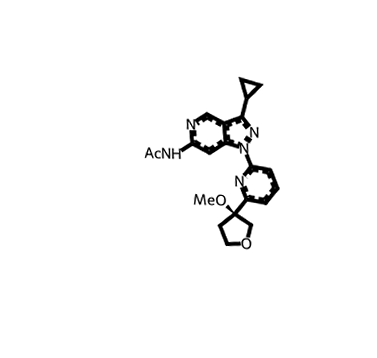 CO[C@]1(c2cccc(-n3nc(C4CC4)c4cnc(NC(C)=O)cc43)n2)CCOC1